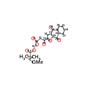 COCC(C)(C)C(=O)OCOC(=O)CC(=O)c1cc2c(o1)C(=O)c1ccccc1C2=O